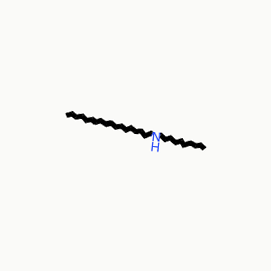 CCCCCC=CCC=CCCCCCCCCNCCCCCCCCCC